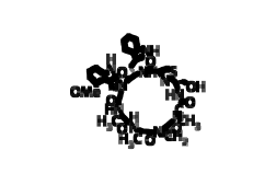 C=C1NC(=O)[C@@H](C)NC(=O)[C@H](C)NC(=O)[C@H](Cc2c[nH]c3cccc(OC)c23)NC(=O)[C@H](Cc2c[nH]c3ccccc23)NC(=O)c2csc(n2)[C@@H](CO)NC(=O)CN(C)C1=O